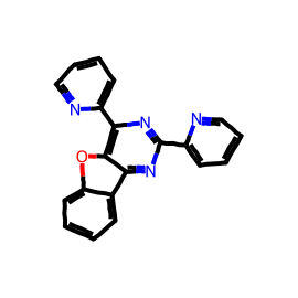 c1ccc(-c2nc(-c3ccccn3)c3oc4ccccc4c3n2)nc1